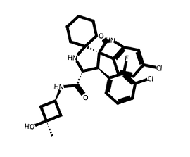 C[C@]1(O)C[C@@H](NC(=O)[C@@H]2NC3(CCCCC3)[C@@]3(C(=O)Nc4cc(Cl)ccc43)[C@H]2c2cccc(Cl)c2F)C1